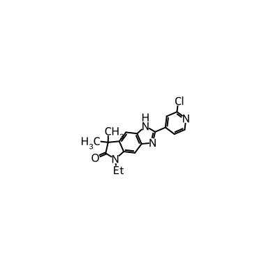 CCN1C(=O)C(C)(C)c2cc3[nH]c(-c4ccnc(Cl)c4)nc3cc21